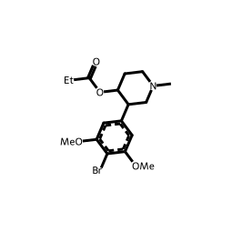 CCC(=O)OC1CCN(C)CC1c1cc(OC)c(Br)c(OC)c1